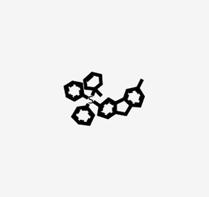 Cc1ccc2c(c1)-c1cc(S(c3ccccc3)(c3ccccc3)C3(C)CC=CCC3)ccc1C2